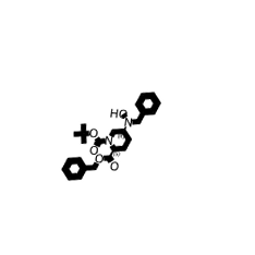 CC(C)(C)OC(=O)N1C[C@H](N(O)Cc2ccccc2)CC[C@H]1C(=O)OCc1ccccc1